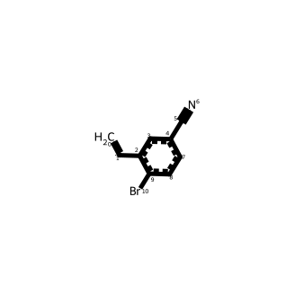 C=[C]c1cc(C#N)ccc1Br